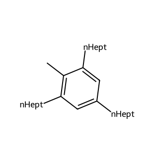 CCCCCCCc1cc(CCCCCCC)c(C)c(CCCCCCC)c1